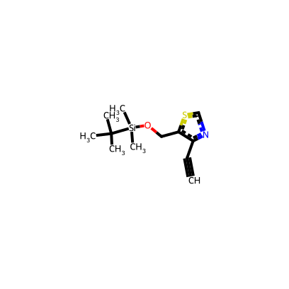 C#Cc1ncsc1CO[Si](C)(C)C(C)(C)C